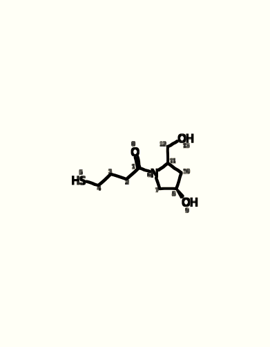 O=C(CCCS)N1C[C@H](O)CC1CO